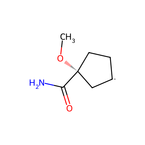 CO[C@@]1(C(N)=O)C[CH]CC1